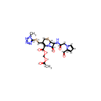 CC(=O)OCOC(=O)C1=C(CSc2nnnn2C)CSC2C(NC(=O)Cn3cccc3C=O)C(=O)N12